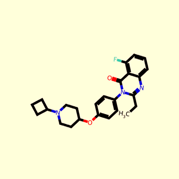 CCc1nc2cccc(F)c2c(=O)n1-c1ccc(OC2CCN(C3CCC3)CC2)cc1